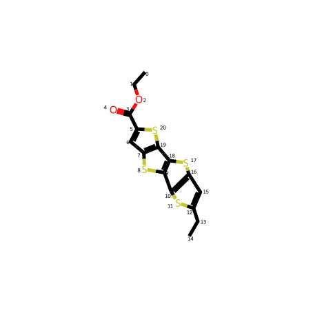 CCOC(=O)c1cc2sc3c4sc(CC)cc4sc3c2s1